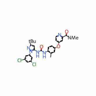 CNC(=O)c1cc(Oc2ccc(NC(=O)Nc3cc(C(C)(C)C)nn3-c3cc(Cl)cc(Cl)c3)c(C)c2)ccn1